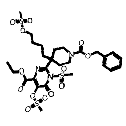 CCOC(=O)c1nc(C2(CCCCOS(C)(=O)=O)CCN(C(=O)OCc3ccccc3)CC2)n(S(C)(=O)=O)c(=O)c1OS(C)(=O)=O